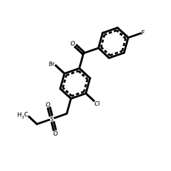 CCS(=O)(=O)Cc1cc(Br)c(C(=O)c2ccc(F)cc2)cc1Cl